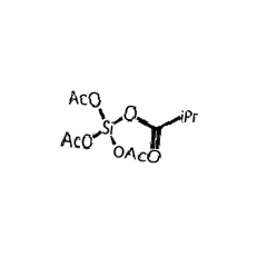 CC(=O)O[Si](OC(C)=O)(OC(C)=O)OC(=O)C(C)C